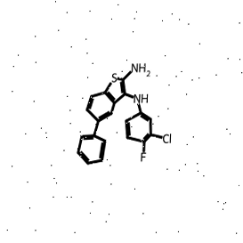 Nc1sc2ccc(-c3ccccc3)cc2c1Nc1ccc(F)c(Cl)c1